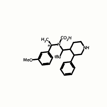 COc1cccc([C@@H](C)N(C(=O)O)C(C2CCNCC2c2ccccc2)C(C)(C)C)c1